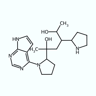 CC(O)C(CC(C)(O)C1CCCN1c1ncnc2[nH]ccc12)C1CCCN1